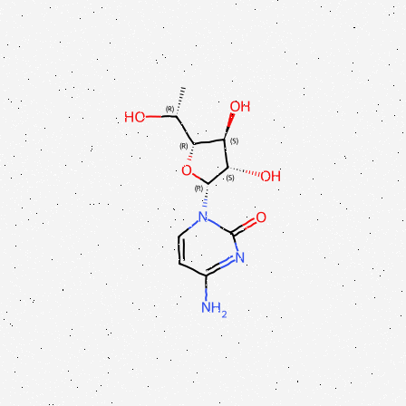 C[C@@H](O)[C@H]1O[C@@H](n2ccc(N)nc2=O)[C@@H](O)[C@@H]1O